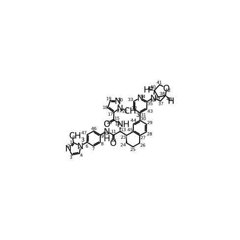 Cc1nccn1-c1ccc(NC(=O)[C@@H](NC(=O)c2ccnn2C)[C@@H]2CCCc3ccc(-c4ccnc(N5C[C@@H]6C[C@H]5CO6)c4)cc32)cc1